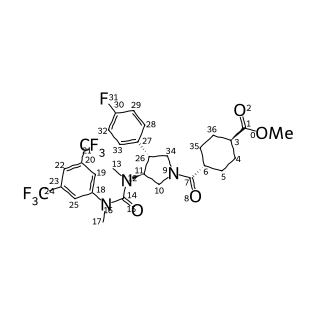 COC(=O)[C@H]1CC[C@H](C(=O)N2C[C@@H](N(C)C(=O)N(C)c3cc(C(F)(F)F)cc(C(F)(F)F)c3)[C@H](c3ccc(F)cc3)C2)CC1